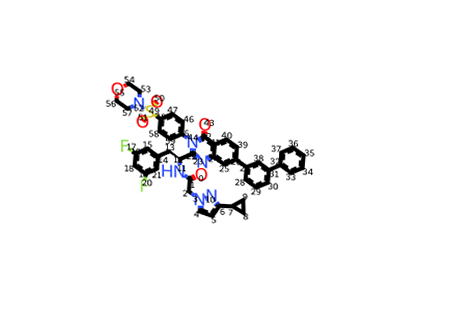 O=C(Cn1ccc(C2CC2)n1)N[C@@H](Cc1cc(F)cc(F)c1)c1nc2cc(-c3cccc(-c4ccccc4)c3)ccc2c(=O)n1-c1ccc(S(=O)(=O)N2CCOCC2)cc1